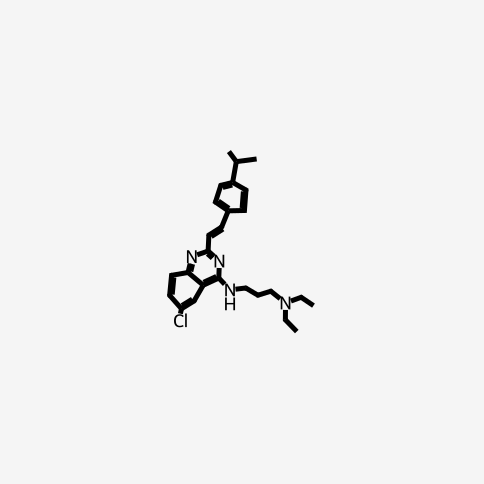 CCN(CC)CCCNc1nc(C=Cc2ccc(C(C)C)cc2)nc2ccc(Cl)cc12